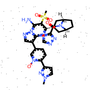 Cn1ccc(-c2ccc(-c3cnn4c(N)c(S(C)(=O)=O)c([C@@H]5C[C@H]6CC[C@@H](C5)N6C(=O)c5nnc[nH]5)nc34)c[n+]2[O-])n1